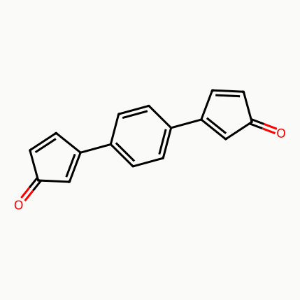 O=C1C=CC(c2ccc(C3=CC(=O)C=C3)cc2)=C1